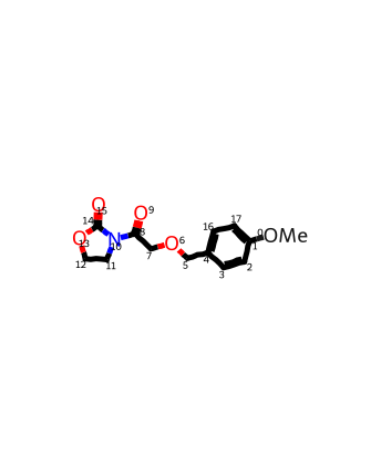 COc1ccc(COCC(=O)N2CCOC2=O)cc1